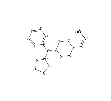 O/N=C\C1CCC(C(c2ccccc2)N2CCCC2)CC1